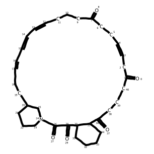 O=C1CC=CCCC(=O)CCCC=CC=CC=CCCC2CCCN(C2)C(=O)C(=O)C2CCCCC2C(=O)CCC1